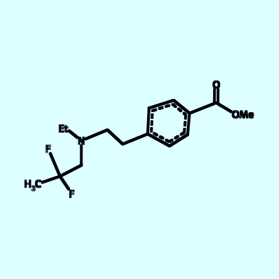 CCN(CCc1ccc(C(=O)OC)cc1)CC(C)(F)F